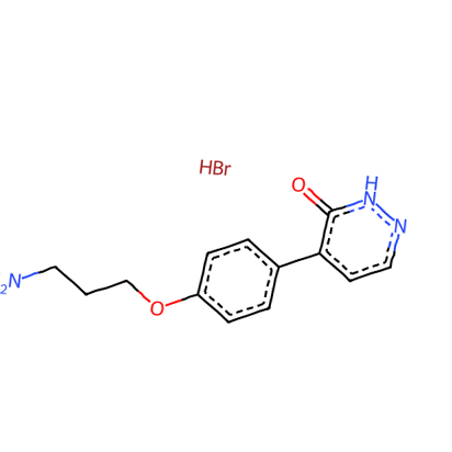 Br.NCCCOc1ccc(-c2ccn[nH]c2=O)cc1